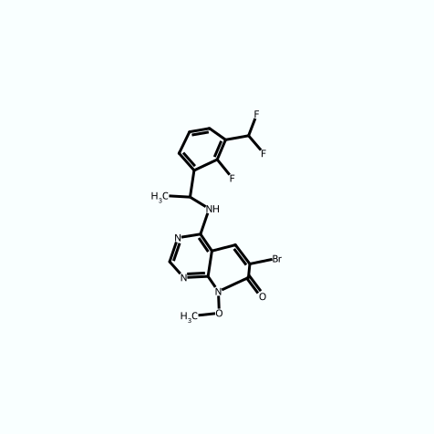 COn1c(=O)c(Br)cc2c(NC(C)c3cccc(C(F)F)c3F)ncnc21